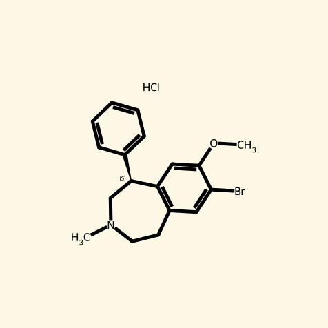 COc1cc2c(cc1Br)CCN(C)C[C@H]2c1ccccc1.Cl